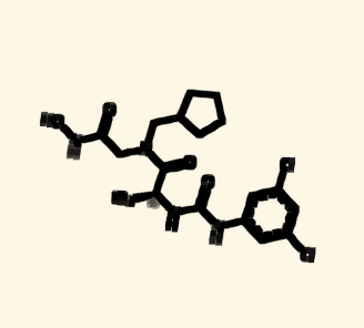 CC(C)(C)[C@H](NC(=O)Nc1cc(Cl)cc(Cl)c1)C(=O)N(CC(=O)NO)CC1CCCC1